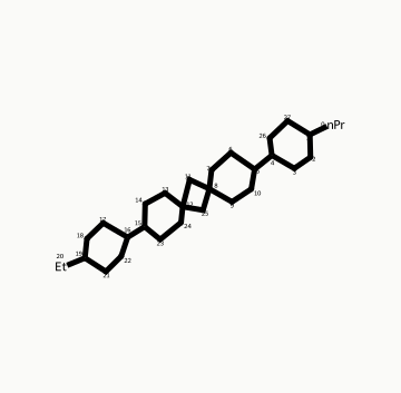 CCCC1CCC(C2CCC3(CC2)CC2(CCC(C4CCC(CC)CC4)CC2)C3)CC1